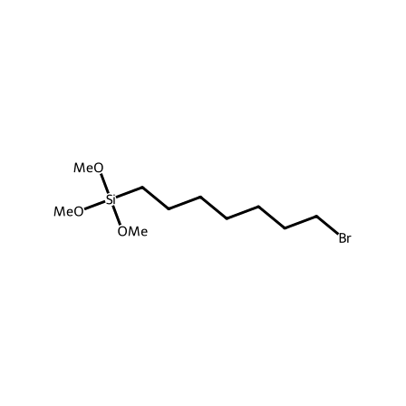 CO[Si](CCCCCCCBr)(OC)OC